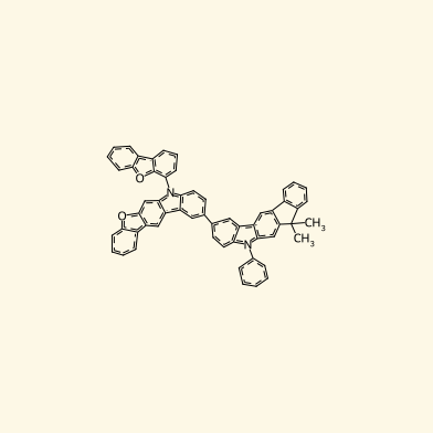 CC1(C)c2ccccc2-c2cc3c4cc(-c5ccc6c(c5)c5cc7c(cc5n6-c5cccc6c5oc5ccccc56)oc5ccccc57)ccc4n(-c4ccccc4)c3cc21